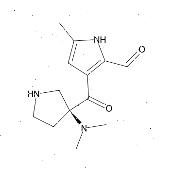 Cc1cc(C(=O)[C@]2(N(C)C)CCNC2)c(C=O)[nH]1